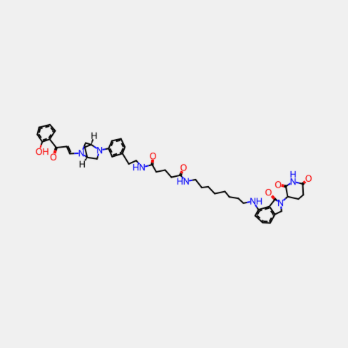 O=C(CCCC(=O)NCCc1cccc(N2C[C@H]3C[C@@H]2CN3/C=C/C(=O)c2ccccc2O)c1)NCCCCCCCCNc1cccc2c1C(=O)N(C1CCC(=O)NC1=O)C2